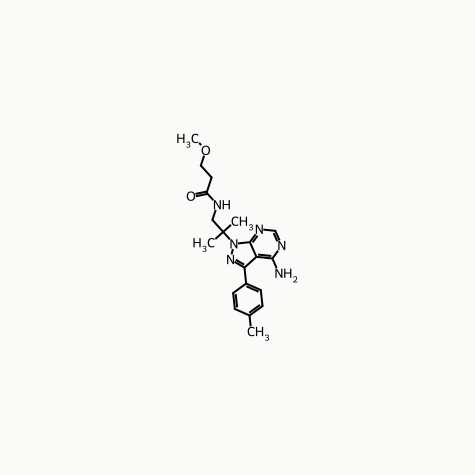 COCCC(=O)NCC(C)(C)n1nc(-c2ccc(C)cc2)c2c(N)ncnc21